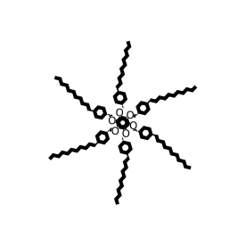 CCCCCCCCCCC[C@H]1CC[C@H](COc2c(OC[C@H]3CC[C@H](CCCCCCCCCCC)CC3)c(OC[C@H]3CC[C@H](CCCCCCCCCCC)CC3)c(OC[C@H]3CC[C@H](CCCCCCCCCCC)CC3)c(OC[C@H]3CC[C@H](CCCCCCCCCCC)CC3)c2OC[C@H]2CC[C@H](CCCCCCCCCCC)CC2)CC1